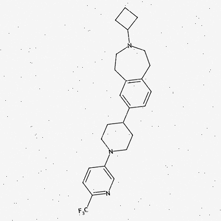 FC(F)(F)c1ccc(N2CCC(c3ccc4c(c3)CCN(C3CCC3)CC4)CC2)cn1